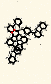 c1ccc(-c2ccccc2N(c2ccc(-c3cccc4c3oc3ccccc34)cc2)c2ccc3c(c2)C(c2ccccc2)(c2ccccc2)c2c-3cccc2-c2cccc3c2oc2ccccc23)cc1